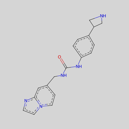 O=C(NCc1ccn2ccnc2c1)Nc1ccc(C2CNC2)cc1